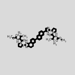 COC(=O)N[C@H](C(=O)N1CCC[C@H]1C1=NC2CCc3cc(-c4ccc5cc(-c6cnc([C@@H]7CCCN7C(=O)[C@@H](NC(=O)OC)C(C)C)[nH]6)ccc5c4)ccc3C2N1)C(C)C